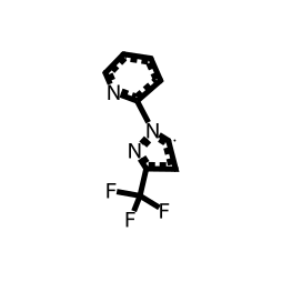 FC(F)(F)c1c[c]n(-c2ccccn2)n1